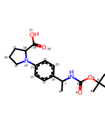 CC(NC(=O)OC(C)(C)C)c1ccc(N2CCCC2C(=O)O)cc1